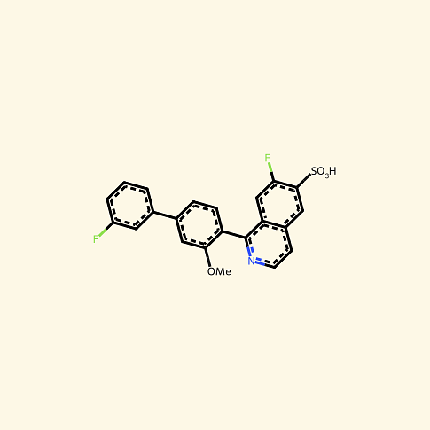 COc1cc(-c2cccc(F)c2)ccc1-c1nccc2cc(S(=O)(=O)O)c(F)cc12